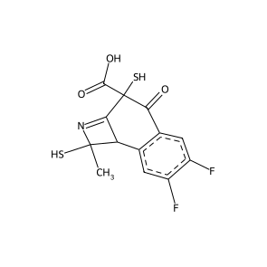 CC1(S)N=C2C1c1cc(F)c(F)cc1C(=O)C2(S)C(=O)O